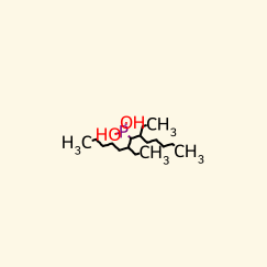 CCCCCC(CC)C(C(CC)CCCCC)P(O)O